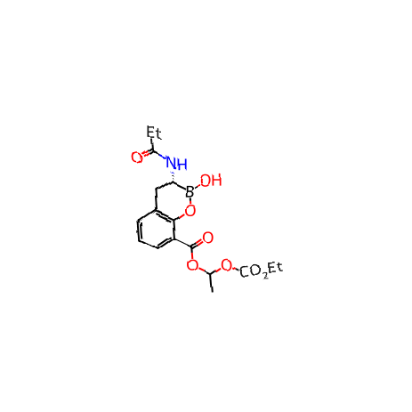 CCOC(=O)OC(C)OC(=O)c1cccc2c1OB(O)[C@@H](NC(=O)CC)C2